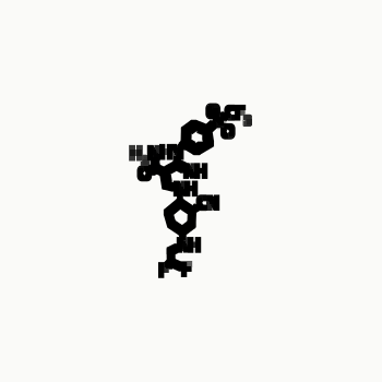 N#C[C@H]1C[C@@H](NCC(F)F)CC[C@@H]1N/C=C(\C(=N)Nc1ccc(S(=O)(=O)C(F)(F)F)cc1)C(N)=O